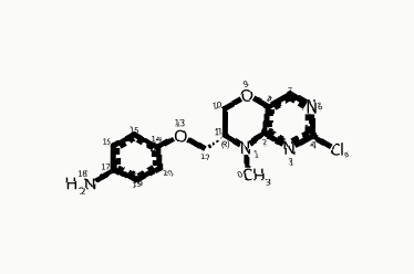 CN1c2nc(Cl)ncc2OC[C@H]1COc1ccc(N)cc1